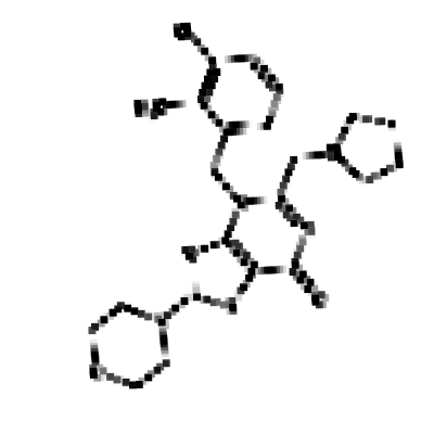 Cc1c(Cl)cccc1Cn1c(CN2CCCC2)nc(=O)c2sc(N3CCOCC3)nc21